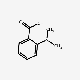 CN(C)c1ccccc1C(=O)O